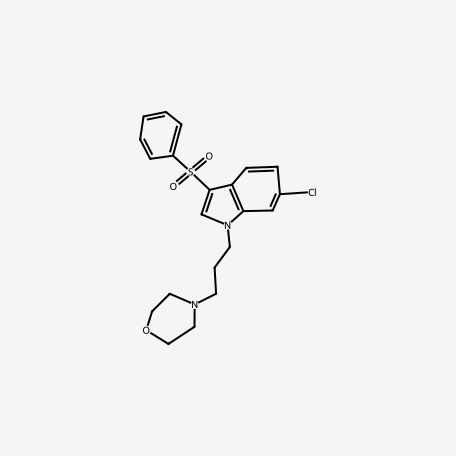 O=S(=O)(c1ccccc1)c1cn(CCCN2CCOCC2)c2cc(Cl)ccc12